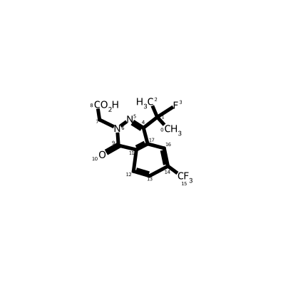 CC(C)(F)c1nn(CC(=O)O)c(=O)c2ccc(C(F)(F)F)cc12